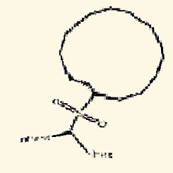 CCCCCCC(CCCCC)S(=O)(=O)C1CCCCCCCCCCC1